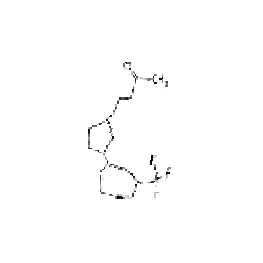 CC(=O)CCC1CCC(C2=CC(C(F)(F)F)C=CC=C2)C1